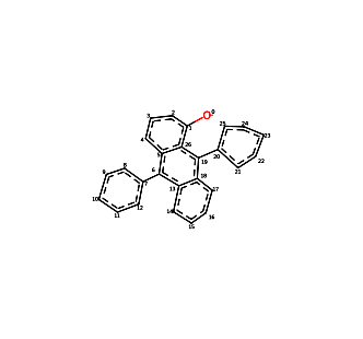 [O]c1cccc2c(-c3ccccc3)c3ccccc3c(-c3ccccc3)c12